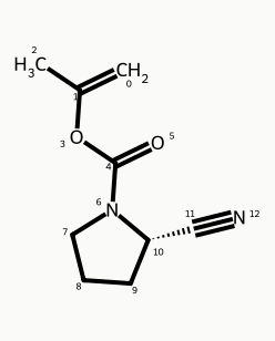 C=C(C)OC(=O)N1CCC[C@H]1C#N